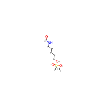 CS(=O)(=O)OCCCCCNC=O